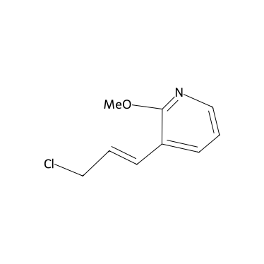 COc1ncccc1/C=C/CCl